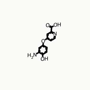 Nc1cc(Oc2ccnc(C(=O)O)c2)ccc1O